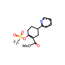 COC(=O)C1=C(OS(=O)(=O)C(F)(F)F)CCC(c2ccccn2)C1